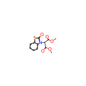 COC(=O)C(C(=O)OC)n1c(=O)sc2ccccc21